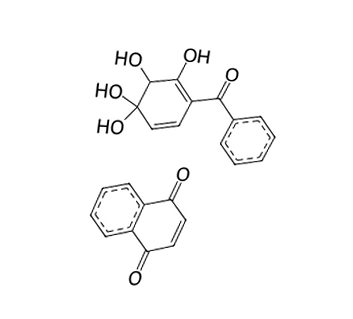 O=C(C1=C(O)C(O)C(O)(O)C=C1)c1ccccc1.O=C1C=CC(=O)c2ccccc21